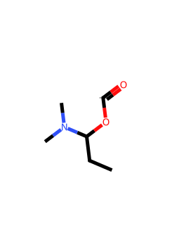 CCC(O[C]=O)N(C)C